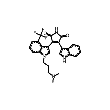 CN(C)CCCn1cc(C2=C(c3c[nH]c4ccccc34)C(=O)NC2=O)c2c(C(F)(F)F)cccc21